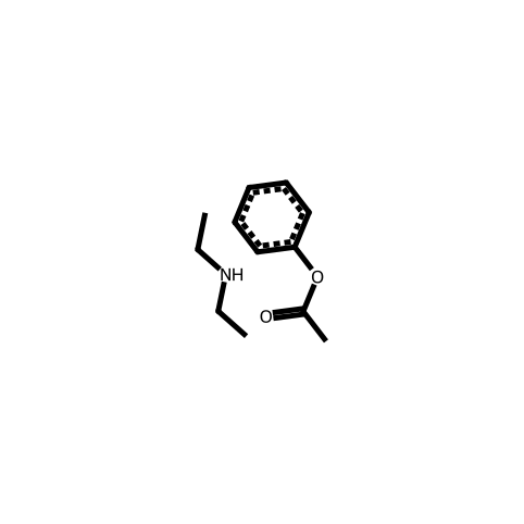 CC(=O)Oc1ccccc1.CCNCC